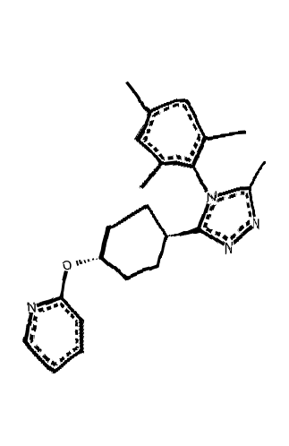 Cc1cc(C)c(-n2c(C)nnc2[C@H]2CC[C@H](Oc3ccccn3)CC2)c(C)c1